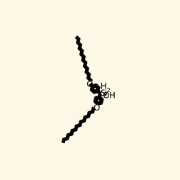 CCCCCCCCCCCCCCCCOc1ccc(C([SiH2]O)c2ccc(OCCCCCCCCCCCCCCCC)cc2)cc1